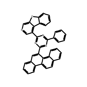 c1ccc(-c2nc(-c3cncc4oc5ccccc5c34)nc(-c3cc4ccccc4c4ccc5ccccc5c34)n2)cc1